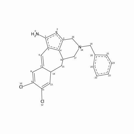 Nc1sc2c3c1C=C1C=C(Cl)C(Cl)=CC1CC3CN(Cc1ccccc1)C2